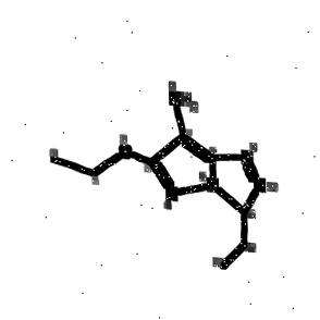 CCOc1nn2c(c1N)N=NC2CC